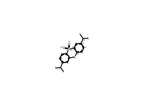 CC(C)c1ccc2c(c1)Sc1ccc(C(C)C)cc1S2(=O)=O